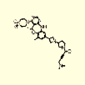 Cc1cc(C2CN(C3CCN(C(=O)C#CCN(C)C)C3)C2)cc2c1O[C@H](C)c1c(ncnc1N1CCS(=O)(=O)CC1)N2